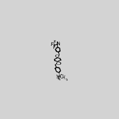 CC1(c2ccc(COc3ccc(OCc4ccc(C5(C(F)(F)F)C=N5)cc4)cc3)cc2)N=N1